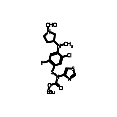 CN(c1cc(F)c(SN(C(=O)OC(C)(C)C)c2cscn2)cc1Cl)C1CCN(C=O)C1